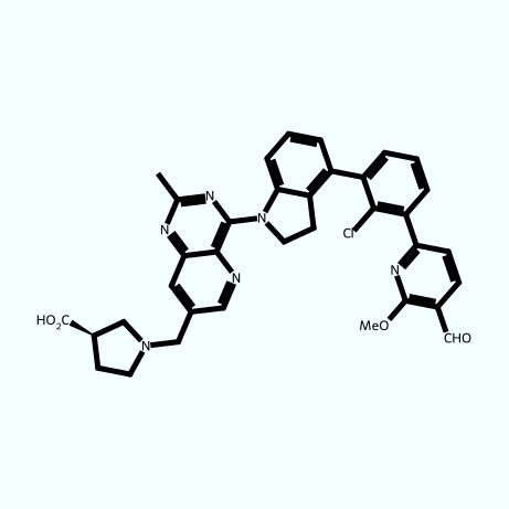 COc1nc(-c2cccc(-c3cccc4c3CCN4c3nc(C)nc4cc(CN5CC[C@@H](C(=O)O)C5)cnc34)c2Cl)ccc1C=O